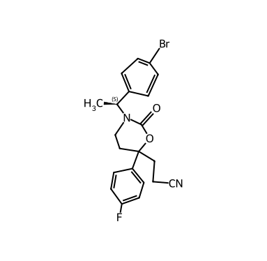 C[C@@H](c1ccc(Br)cc1)N1CCC(CCC#N)(c2ccc(F)cc2)OC1=O